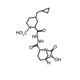 O=C(NNC(=O)[C@@H]1CC[C@@H]2CN1C(=O)N2O)C1CC(CC2CC2)CCN1C(=O)O